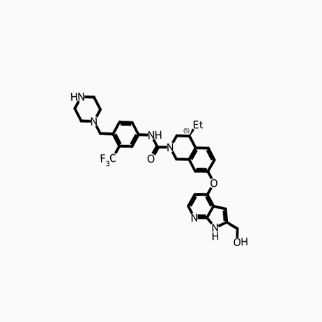 CC[C@@H]1CN(C(=O)Nc2ccc(CN3CCNCC3)c(C(F)(F)F)c2)Cc2cc(Oc3ccnc4[nH]c(CO)cc34)ccc21